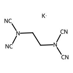 N#CN(C#N)CCN(C#N)C#N.[K]